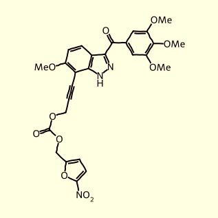 COc1cc(C(=O)c2n[nH]c3c(C#CCOC(=O)OCc4ccc([N+](=O)[O-])o4)c(OC)ccc23)cc(OC)c1OC